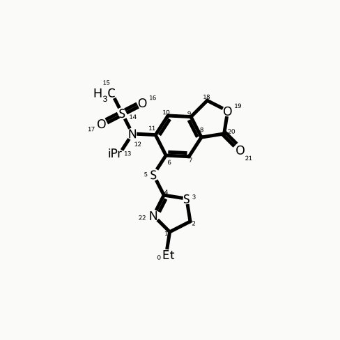 CCC1CSC(Sc2cc3c(cc2N(C(C)C)S(C)(=O)=O)COC3=O)=N1